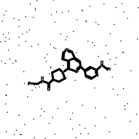 CC(C)CNC(=O)C1CCN(c2nc(-c3ccnc(NC(C)C)c3)cc3cnccc23)CC1